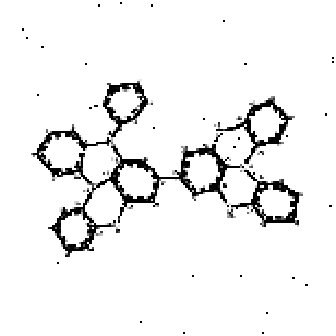 c1ccc(N2c3ccccc3B3c4ccccc4Oc4cc(-c5cc6c7c(c5)Oc5ccccc5B7c5ccccc5O6)cc2c43)cc1